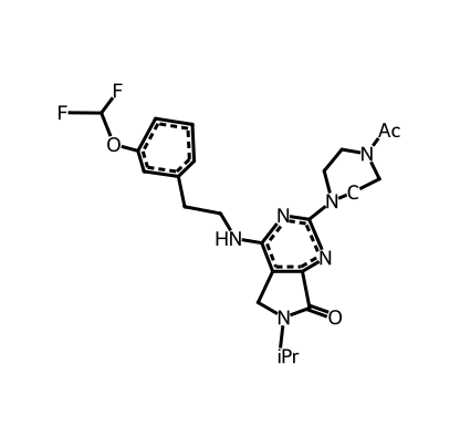 CC(=O)N1CCN(c2nc(NCCc3cccc(OC(F)F)c3)c3c(n2)C(=O)N(C(C)C)C3)CC1